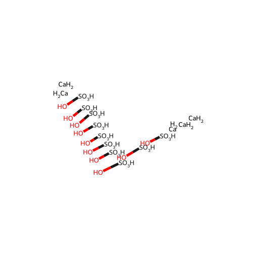 O=S(=O)(O)O.O=S(=O)(O)O.O=S(=O)(O)O.O=S(=O)(O)O.O=S(=O)(O)O.O=S(=O)(O)O.O=S(=O)(O)O.O=S(=O)(O)O.O=S(=O)(O)O.O=S(=O)(O)O.[CaH2].[CaH2].[CaH2].[CaH2].[CaH2]